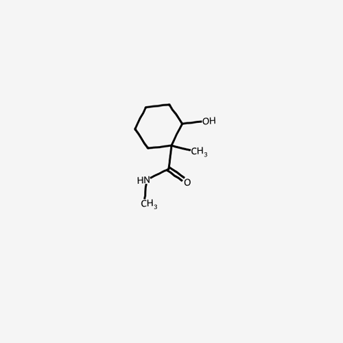 CNC(=O)C1(C)CCCCC1O